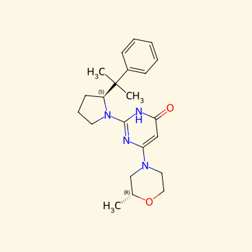 C[C@@H]1CN(c2cc(=O)[nH]c(N3CCC[C@H]3C(C)(C)c3ccccc3)n2)CCO1